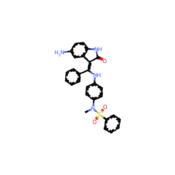 CN(c1ccc(N/C(=C2\C(=O)Nc3ccc(N)cc32)c2ccccc2)cc1)S(=O)(=O)c1ccccc1